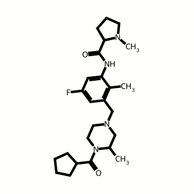 Cc1c(CN2CCN(C(=O)C3CCCC3)C(C)C2)cc(F)cc1NC(=O)C1CCCN1C